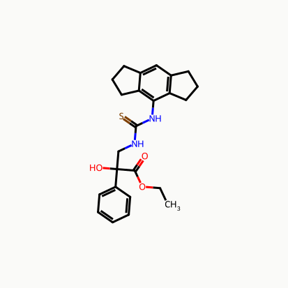 CCOC(=O)C(O)(CNC(=S)Nc1c2c(cc3c1CCC3)CCC2)c1ccccc1